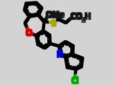 COC1(SCCC(=O)O)c2ccccc2COc2ccc(-c3ccc4ccc(Cl)cc4n3)cc21